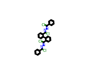 Cl/C(=N\N=C(/Cl)c1ccccc1-c1ccccc1/C(Cl)=N/N=C(\Cl)c1ccccc1)c1ccccc1